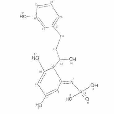 O=P(O)(O)/N=C1\C=C(O)C=C(O)C1C(O)CCc1cccc(O)c1